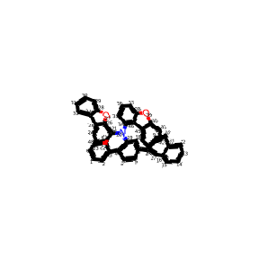 c1ccc(-c2ccc(-c3ccc4ccccc4c3)cc2N(c2cccc3c2oc2ccccc23)c2cccc3oc4ccccc4c23)cc1